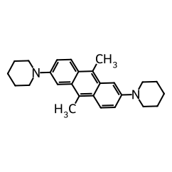 Cc1c2ccc(N3CCCCC3)cc2c(C)c2ccc(N3CCCCC3)cc12